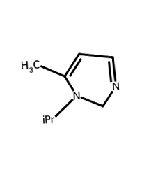 CC1=CC=NCN1C(C)C